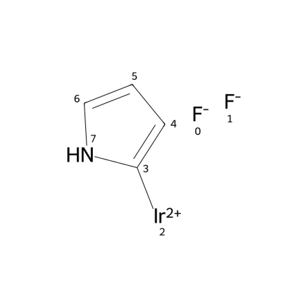 [F-].[F-].[Ir+2][c]1ccc[nH]1